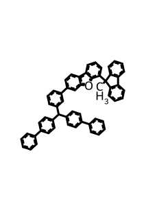 CC1(c2cccc3c2oc2cc(-c4cccc(C(c5ccc(-c6ccccc6)cc5)c5ccc(-c6ccccc6)cc5)c4)ccc23)c2ccccc2-c2ccccc21